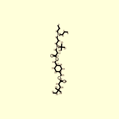 CCCN(CCC)CCCN(CCC(=O)OCC1CCC(COC(=O)CCC(C)(C)CC)CC1)C(C)(C)C